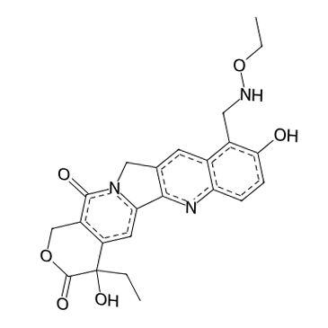 CCONCc1c(O)ccc2nc3c(cc12)Cn1c-3cc2c(c1=O)COC(=O)C2(O)CC